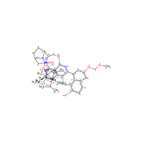 COCOc1cc(-c2nc3c4c(nc(SC)nc4c2F)N2CC4CCC(C2CO3)N4C(=O)OC(C)(C)C)c2c(C#C[Si](C(C)C)(C(C)C)C(C)C)c(F)ccc2c1